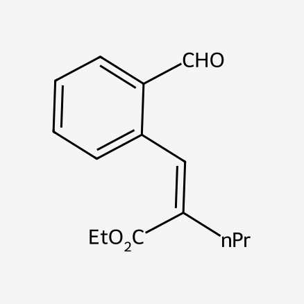 CCCC(=Cc1ccccc1C=O)C(=O)OCC